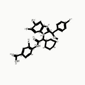 COC(c1ccc(F)cc1)c1nc2cc(F)c(F)cc2n1C(C(=O)Nc1ccc(C(=O)O)cc1F)C1CCCCC1